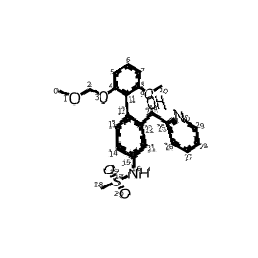 COCOc1cccc(OC)c1-c1ccc(NS(C)(=O)=O)cc1C(O)c1ccccn1